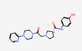 O=C(Nc1ccc(O)cc1)[C@@H]1CCN(CC(=O)N2CCN(c3ccccn3)CC2)C1